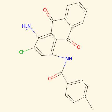 Cc1ccc(C(=O)Nc2cc(Cl)c(N)c3c2C(=O)c2ccccc2C3=O)cc1